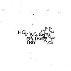 CC(C)(C)OC(=O)N(CCO)CCO[Si](c1ccccc1)(c1ccccc1)C(C)(C)C